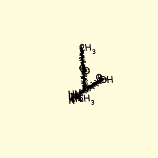 CCCCCCCCCOC(=O)CCCCCCCN(CCCCCCCC(=O)O)CCCN/C(=N/C#N)NC